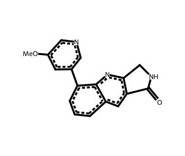 COc1cncc(-c2cccc3cc4c(nc23)CNC4=O)c1